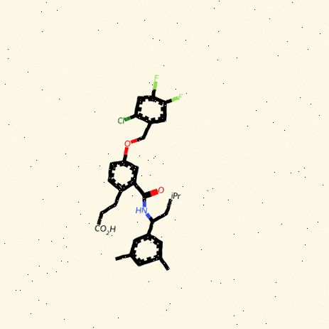 Cc1cc(C)cc(C(CC(C)C)NC(=O)c2cc(OCc3cc(F)c(F)cc3Cl)ccc2CCC(=O)O)c1